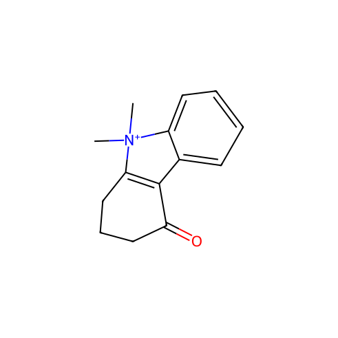 C[N+]1(C)C2=C(C(=O)CCC2)c2ccccc21